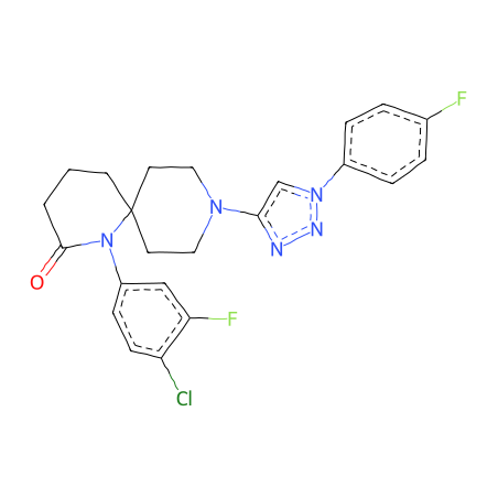 O=C1CCCC2(CCN(c3cn(-c4ccc(F)cc4)nn3)CC2)N1c1ccc(Cl)c(F)c1